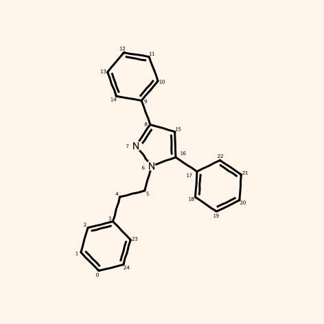 c1ccc(CCn2nc(-c3ccccc3)cc2-c2ccccc2)cc1